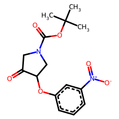 CC(C)(C)OC(=O)N1CC(=O)C(Oc2cccc([N+](=O)[O-])c2)C1